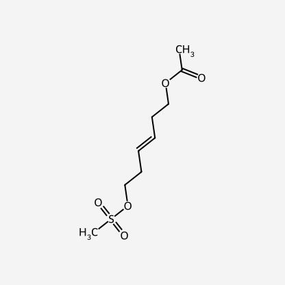 CC(=O)OCCC=CCCOS(C)(=O)=O